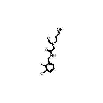 O=CN(CCCO)CC(=O)NCc1cccc(Cl)c1F